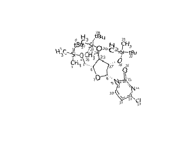 CC(C)(C)[Si](C)(C)OC[C@H]1O[C@@H](n2ccc(Cl)nc2=O)[C@@H](O[Si](C)(C)C(C)(C)C)C1O[Si](C)(C)C(C)(C)C